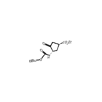 CCOC(=O)[C@@H]1CC(=O)[C@@H](NC(=O)OC(C)(C)C)C1